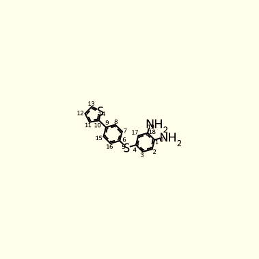 Nc1ccc(Sc2ccc(-c3cccs3)cc2)cc1N